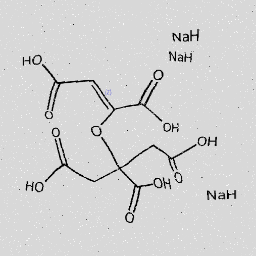 O=C(O)/C=C(\OC(CC(=O)O)(CC(=O)O)C(=O)O)C(=O)O.[NaH].[NaH].[NaH]